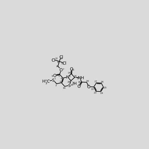 CSCC1=C(C(=O)OCC(Cl)(Cl)Cl)N2C(=O)[C@@H](NC(=O)COc3ccccc3)[C@H]2SC1